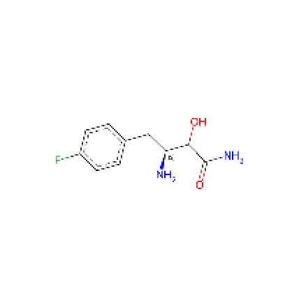 NC(=O)C(O)[C@@H](N)Cc1ccc(F)cc1